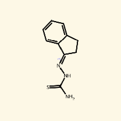 NC(=S)N/N=C1\CCc2ccccc21